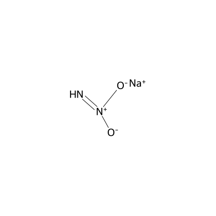 N=[N+]([O-])[O-].[Na+]